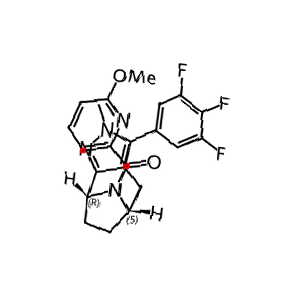 COc1cccc(C(=O)N2[C@H]3CC[C@@H]2c2nn(C)c(-c4cc(F)c(F)c(F)c4)c2C3)n1